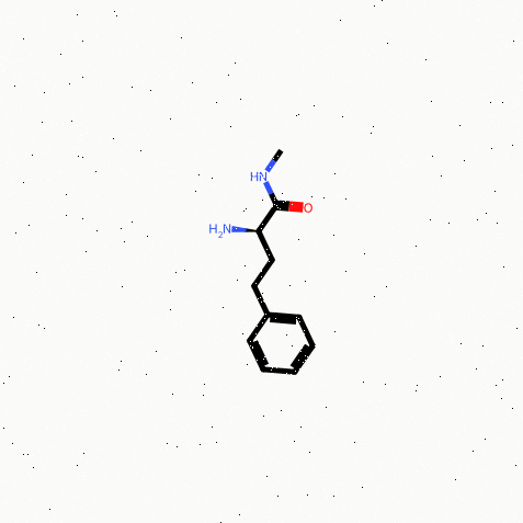 CNC(=O)[C@H](N)CCc1ccccc1